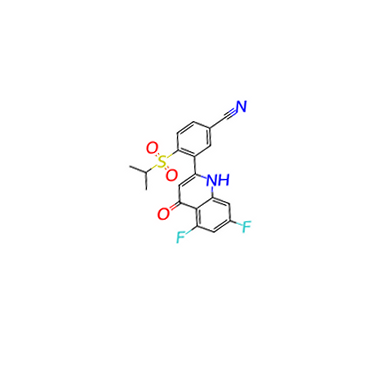 CC(C)S(=O)(=O)c1ccc(C#N)cc1-c1cc(=O)c2c(F)cc(F)cc2[nH]1